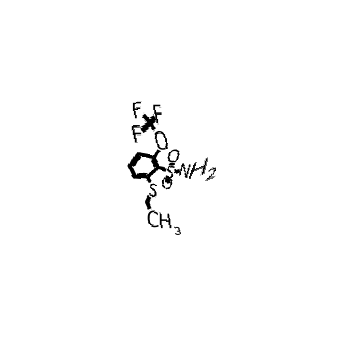 CCSc1cccc(OC(F)(F)F)c1S(N)(=O)=O